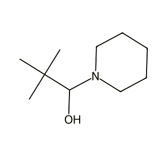 CC(C)(C)C(O)N1CCCCC1